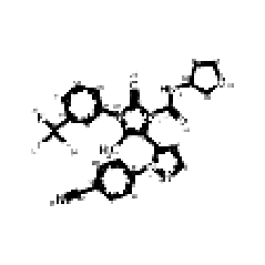 Cc1c(-c2ccnn2-c2ccc(C#N)cc2)n(C(=O)NC2CCOC2)c(=O)n1-c1cccc(C(F)(F)F)c1